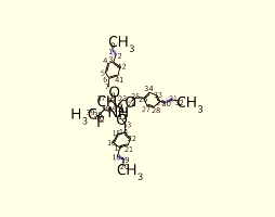 C/C=C/c1ccc(COCC(COCc2ccc(/C=C/C)cc2)(COCc2ccc(/C=C/C)cc2)NC(C)C(C)F)cc1